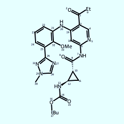 CCC(=O)c1cnc(NC(=O)[C@@H]2C[C@H]2NC(=O)OC(C)(C)C)cc1Nc1cccc(-c2ncn(C)n2)c1OC